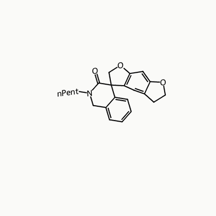 CCCCCN1Cc2ccccc2C2(COc3cc4c(cc32)CCO4)C1=O